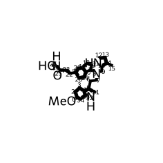 COc1ccc2c(CCN(Cc3[nH]ccc3C)C3CCc4cc(/C=C/C(=O)NO)ccc43)c[nH]c2c1